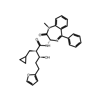 CN1C(=O)[C@@H](NC(=O)[C@H](CC2CC2)[C@@H](O)CCc2ccco2)N=C(c2ccccc2)c2ccccc21